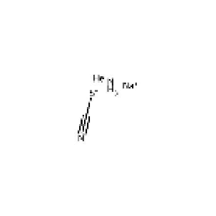 N.N#C[S-].[He].[Na+]